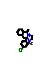 C=C1c2ccccc2CC2(c3ccc(Cl)cc3)N1CCN2C(C)=O